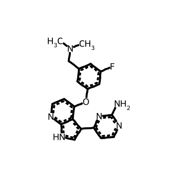 CN(C)Cc1cc(F)cc(Oc2ccnc3[nH]cc(-c4ccnc(N)n4)c23)c1